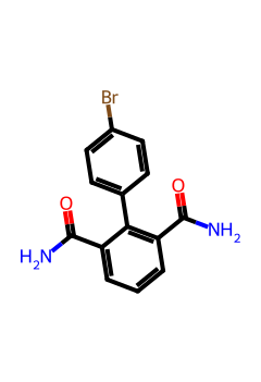 NC(=O)c1cccc(C(N)=O)c1-c1ccc(Br)cc1